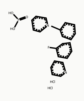 Cc1ccccc1.Cl.Cl.Fc1ccccc1.O=[P](O)O.c1ccncc1.c1ccncc1